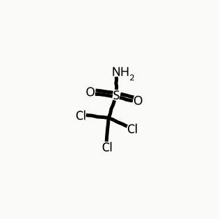 NS(=O)(=O)C(Cl)(Cl)Cl